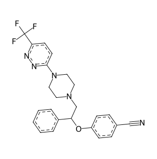 N#Cc1ccc(OC(CN2CCN(c3ccc(C(F)(F)F)nn3)CC2)c2ccccc2)cc1